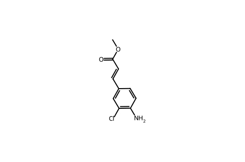 COC(=O)/C=C/c1ccc(N)c(Cl)c1